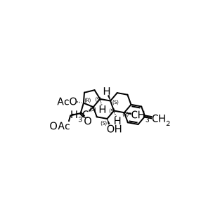 C=C1C=C[C@@]2(C)C(=C1)CC[C@@H]1[C@@H]2[C@@H](O)C[C@@]2(C)[C@H]1CC[C@]2(OC(C)=O)C(=O)COC(C)=O